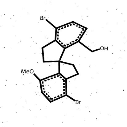 COc1ccc(Br)c2c1C1(CCc3c(Br)ccc(CO)c31)CC2